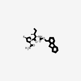 CC[C@H](C)[C@H](NC(=O)OCc1cccc2c1Cc1ccccc1-2)C(=O)N1C[C@H](F)C[C@@H]1C(N)=O